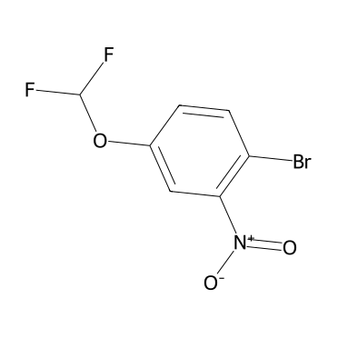 O=[N+]([O-])c1cc(OC(F)F)ccc1Br